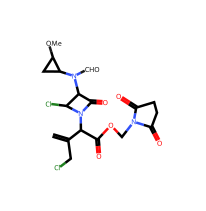 C=C(CCl)C(C(=O)OCN1C(=O)CCC1=O)N1C(=O)C(N(C=O)C2CC2OC)C1Cl